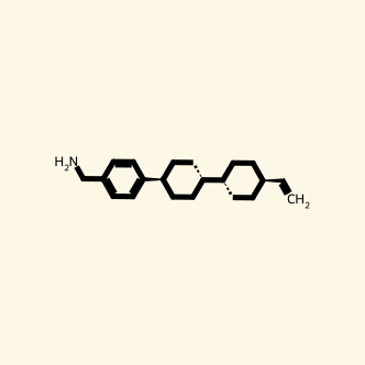 C=C[C@H]1CC[C@H]([C@H]2CC[C@H](c3ccc(CN)cc3)CC2)CC1